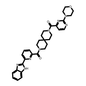 O=C(c1cccc(-c2nc3ccccc3[nH]2)n1)N1CCC2(CC1)CCN(C(=O)c1ccnc(N3CCOCC3)n1)CC2